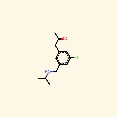 CC(=O)Cc1cc(F)cc(CNC(C)C)c1